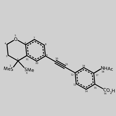 CSC1(SC)CCOc2ccc(C#Cc3ccc(C(=O)O)c(NC(C)=O)c3)cc21